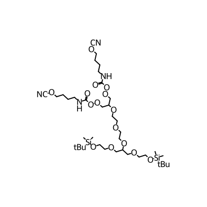 CC(C)(C)[Si](C)(C)OCCOCC(COCCO[Si](C)(C)C(C)(C)C)OCCOCCOC(COOC(=O)NCCCCOC#N)COOC(=O)NCCCCOC#N